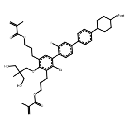 C=C(C)C(=O)OCCCc1cc(-c2ccc(-c3ccc(C4CCC(CCCCC)CC4)cc3)cc2F)c(CC)c(CCCOC(=O)C(=C)C)c1OCC(C)(CO)CO